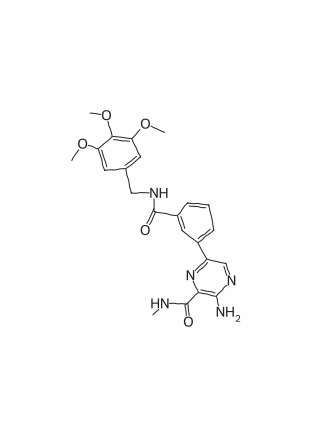 CNC(=O)c1nc(-c2cccc(C(=O)NCc3cc(OC)c(OC)c(OC)c3)c2)cnc1N